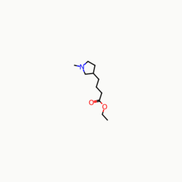 CCOC(=O)CCCC1CCN(C)C1